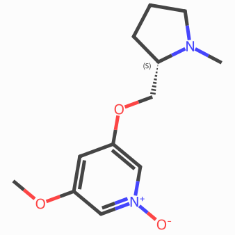 COc1cc(OC[C@@H]2CCCN2C)c[n+]([O-])c1